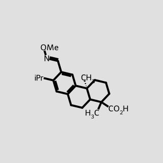 CO/N=C/c1cc2c(cc1C(C)C)CCC1C(C)(C(=O)O)CCC[C@]21C